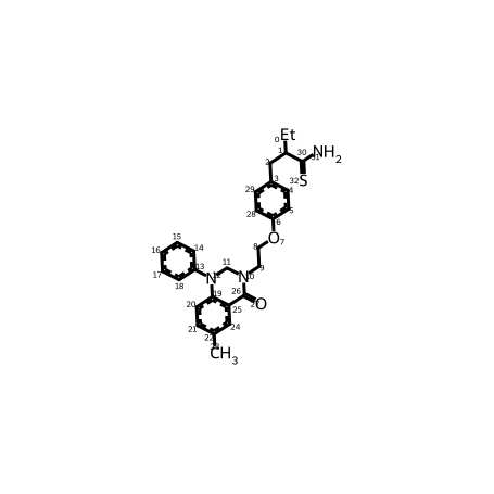 CCC(Cc1ccc(OCCN2CN(c3ccccc3)c3ccc(C)cc3C2=O)cc1)C(N)=S